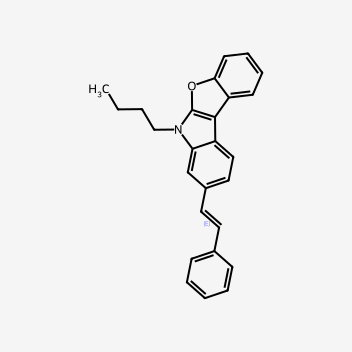 CCCCn1c2cc(/C=C/c3ccccc3)ccc2c2c3ccccc3oc21